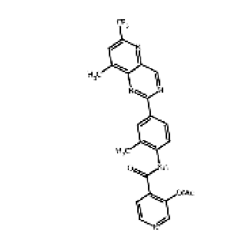 COc1cnccc1C(=O)Nc1ccc(-c2ncc3nc(C(F)(F)F)cc(C)c3n2)cc1C